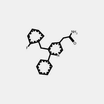 NC(=O)Cc1cnc(-c2ccccc2)c(Cc2ccccc2F)c1